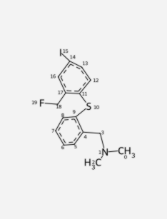 CN(C)Cc1ccccc1Sc1ccc(I)cc1CF